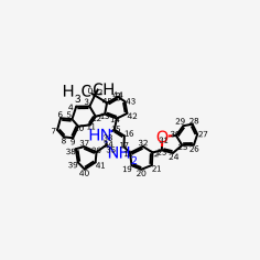 CC1(C)c2cc3ccccc3cc2-c2c(/C(=C/Cc3cccc(-c4cc5ccccc5o4)c3)NC(N)c3ccccc3)cccc21